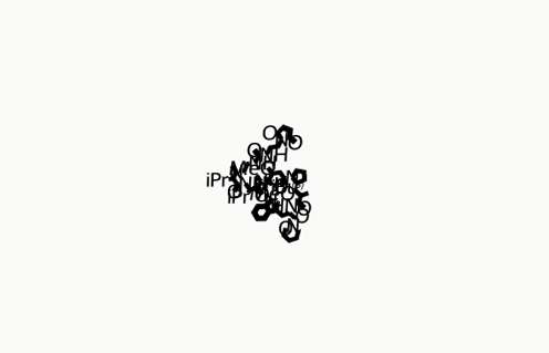 CCC(C)C(C(CC(=O)N1CCC[C@H]1C(OC)C(C)C(=O)NC(Cc1c[nH]c2ccccc12)C(=O)N1CCCCO1)OC)N(C)C(=O)C(NC(=O)C(C(C)C)N(C)CCNC(=O)NCCN1C(=O)C=CC1=O)C(C)C